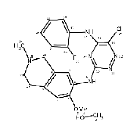 CO.COc1cc2c(cc1Nc1nnc(Cl)c(Nc3ccccc3F)n1)CN(C)CC2